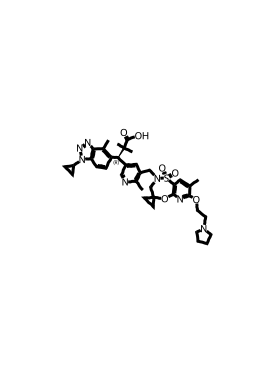 Cc1cc2c(nc1OCCN1CCCC1)OC1(CC1)CN(Cc1cc([C@@H](c3ccc4c(nnn4C4CC4)c3C)C(C)(C)C(=O)O)cnc1C)S2(=O)=O